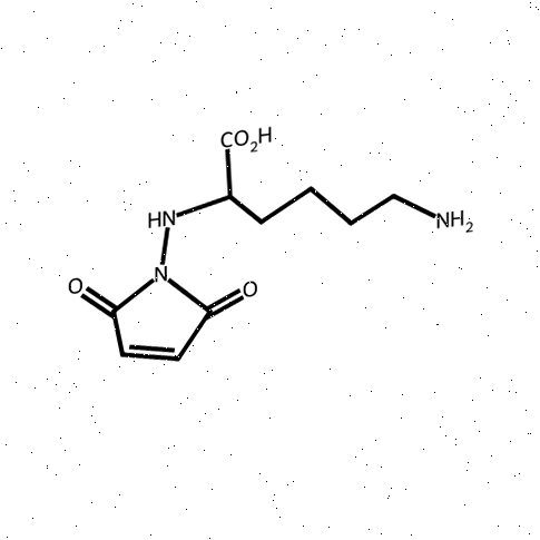 NCCCCC(NN1C(=O)C=CC1=O)C(=O)O